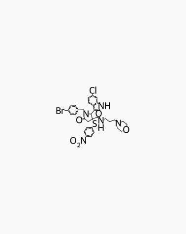 O=C1CC(Sc2ccc([N+](=O)[O-])cc2)(C(=O)NCCCN2CCOCC2)C(c2c[nH]c3cc(Cl)ccc23)N1Cc1ccc(Br)cc1